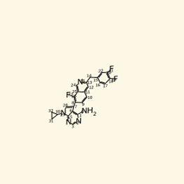 Nc1ncnc2c1c(-c1ccc3cc(Cc4ccc(F)c(F)c4)ncc3c1F)cn2C1CC1